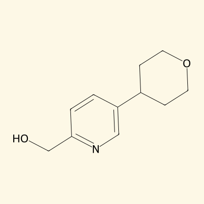 OCc1ccc(C2CCOCC2)cn1